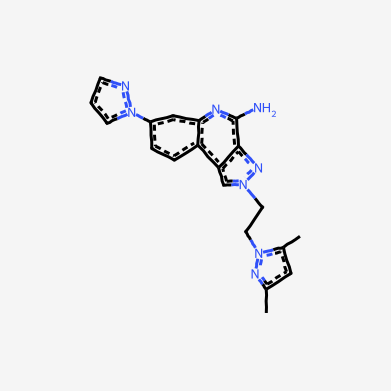 Cc1cc(C)n(CCn2cc3c(n2)c(N)nc2cc(-n4cccn4)ccc23)n1